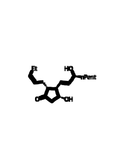 CC/C=C\C[C@H]1C(=O)C[C@@H](O)[C@@H]1/C=C/[C@@H](O)CCCCC